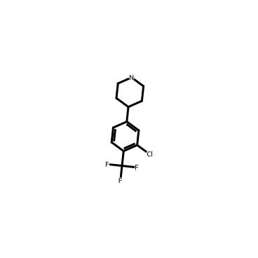 FC(F)(F)c1ccc(C2CC[N]CC2)cc1Cl